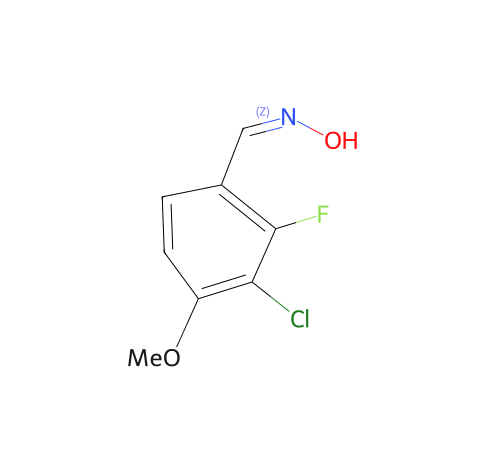 COc1ccc(/C=N\O)c(F)c1Cl